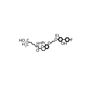 CCCc1c(OCCCOc2cc(O)c(-c3ccc(F)cc3)cc2CC)ccc2c1OC(C(=O)NCCCCC(C)C(=O)O)CC2